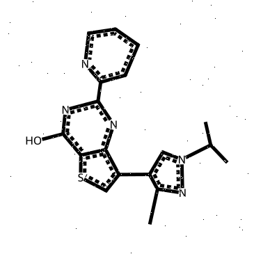 Cc1nn(C(C)C)cc1-c1csc2c(O)nc(-c3ccccn3)nc12